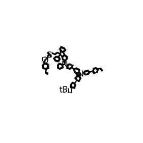 C=Cc1ccc(OCCS(C)(C)CCCC2(c3ccccc3)c3ccccc3-c3ccc(N(c4ccccc4)c4ccc(-c5ccc6c(c5)c5cc(-c7ccc(C(C)(C)C)cc7)ccc5n6-c5ccc(-c6ccc(C=C)cc6)cc5)cc4)cc32)cc1